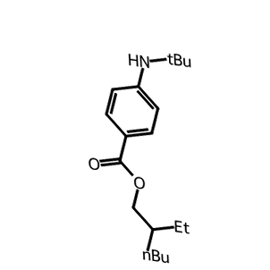 CCCCC(CC)COC(=O)c1ccc(NC(C)(C)C)cc1